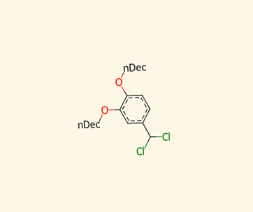 CCCCCCCCCCOc1ccc(C(Cl)Cl)cc1OCCCCCCCCCC